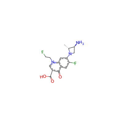 C[C@@H]1[C@@H](N)CN1c1cc2c(cc1F)c(=O)c(C(=O)O)cn2CCF